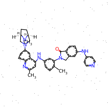 Cc1cc(Nc2ccc(C)c(N3Cc4cc(Nc5ccncc5)ccc4C3=O)c2)c2cc(N3C[C@H]4CC[C@@H](C3)N4C)ccc2n1